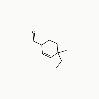 CCC1(C)C=CC(C=O)CC1